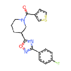 O=C(c1ccsc1)N1CCCC(c2nc(-c3ccc(F)cc3)no2)C1